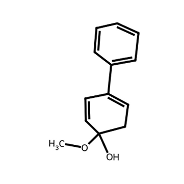 COC1(O)C=CC(c2ccccc2)=CC1